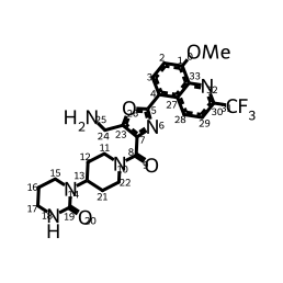 COc1ccc(-c2nc(C(=O)N3CCC(N4CCCNC4=O)CC3)c(CN)o2)c2ccc(C(F)(F)F)nc12